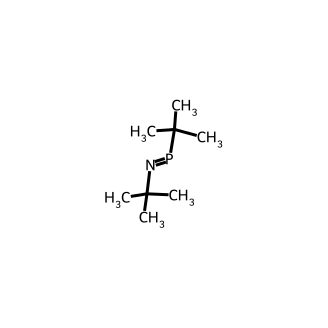 CC(C)(C)N=PC(C)(C)C